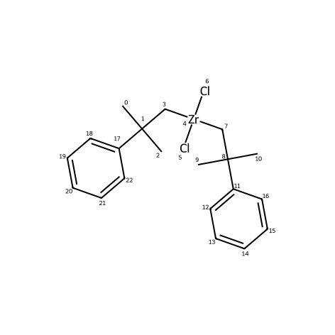 CC(C)([CH2][Zr]([Cl])([Cl])[CH2]C(C)(C)c1ccccc1)c1ccccc1